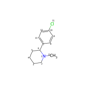 CN1CCCCC1c1ccc(Cl)cc1